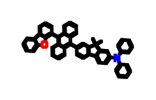 CC1(C)c2cc(-c3c4ccccc4c(-c4cccc5c4oc4ccccc45)c4ccccc34)ccc2-c2ccc(N(c3ccccc3)c3ccccc3)cc21